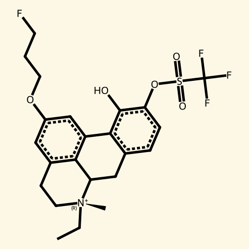 CC[N@+]1(C)CCc2cc(OCCCF)cc3c2C1Cc1ccc(OS(=O)(=O)C(F)(F)F)c(O)c1-3